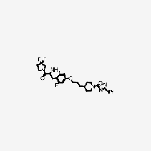 CC(C)c1noc(N2CCC(CCCOc3ccc(CC(N)C(=O)N4CCC(F)(F)C4)c(F)c3)CC2)n1